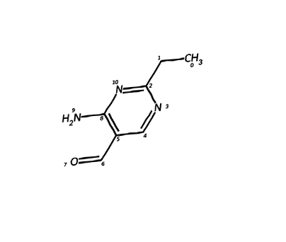 CCc1ncc(C=O)c(N)n1